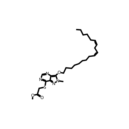 CCCCC/C=C\C/C=C\CCCCCCCCOc1c2ncnc(SCC(=O)OC)c2nn1C